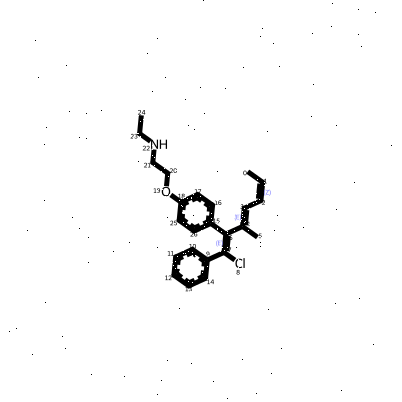 C\C=C/C=C(C)/C(=C(\Cl)c1ccccc1)c1ccc(OCCNCC)cc1